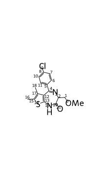 COCC1N=C(c2ccc(Cl)cc2)c2c(sc(C)c2C)NC1=O